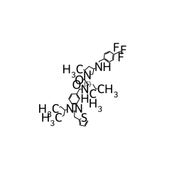 CCC(CC)n1c(Cc2cccs2)nc2cc(C(=O)N[C@@H](CC(C)C)C(=O)N3CC(NCc4ccc(C(F)(F)F)cc4)CC3C)ccc21